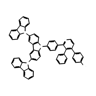 N#Cc1ccc(-c2ccnc(-c3ccc(-n4c5ccc(-n6c7ccccc7c7ccccc76)cc5c5cc(-n6c7ccccc7c7ccccc76)ccc54)cc3)c2-c2ccccc2)cc1